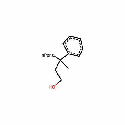 CCCCCC(C)(C[CH]O)c1ccccc1